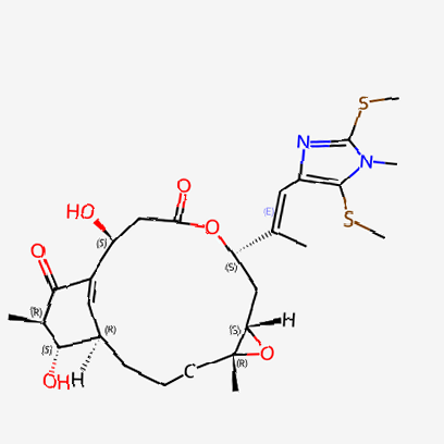 CSc1nc(/C=C(\C)[C@@H]2C[C@@H]3O[C@]3(C)CCC[C@@H]3C=C(C(=O)[C@H](C)[C@H]3O)[C@@H](O)CC(=O)O2)c(SC)n1C